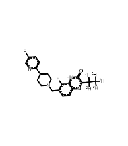 [2H]C([2H])([2H])C([2H])([2H])c1nc2ccc(CN3CC=C(c4ccc(F)cn4)CC3)c(F)c2[nH]c1=O